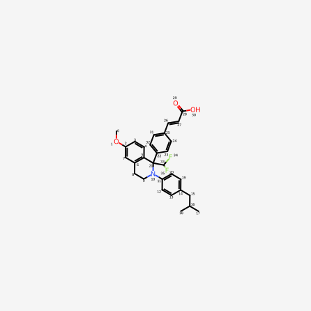 COc1ccc2c(c1)CCN(c1ccc(CC(C)C)cc1)C2(c1ccc(/C=C/C(=O)O)cc1)C(F)F